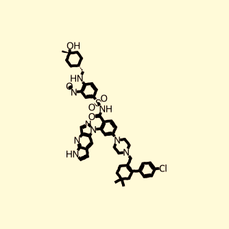 CC1(C)CCC(CN2CCN(c3ccc(C(=O)NS(=O)(=O)c4ccc(NC[C@H]5CC[C@@](C)(O)CC5)c(N=O)c4)c(-n4ncc5nc6[nH]ccc6cc54)c3)CC2)=C(c2ccc(Cl)cc2)C1